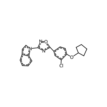 Clc1cc(-c2nc(-n3ccc4ccccc43)no2)ccc1OC1CCCC1